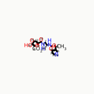 C[C@H](OC(=O)NCCNC(=O)c1cc(=O)c(O)c(C(=O)O)o1)c1cccnc1